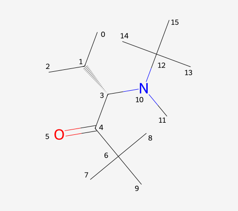 CC(C)[C@@H](C(=O)C(C)(C)C)N(C)C(C)(C)C